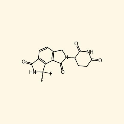 O=C1CCC(N2Cc3ccc4c(c3C2=O)C(F)(F)NC4=O)C(=O)N1